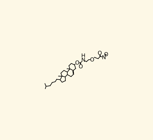 CC(C)CCCCC1CCC2C3CC=C4CC(OC(=O)NCCOCCC(=O)N=O)CCC4(C)C3CCC12C